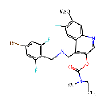 COc1cc2ncc(OC(=O)N(CC(F)(F)F)C(C)(C)C)c(CNCc3c(F)cc(Br)cc3F)c2cc1F